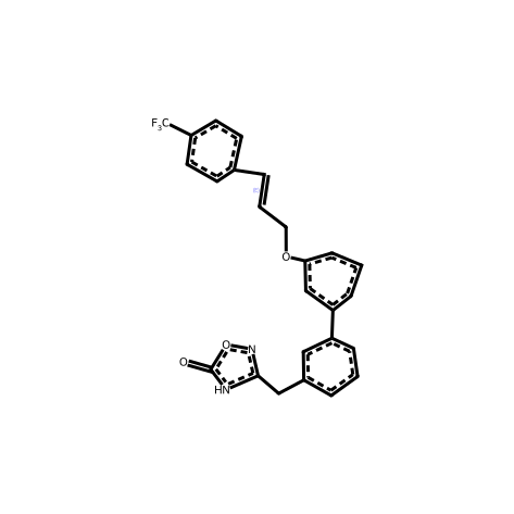 O=c1[nH]c(Cc2cccc(-c3cccc(OC/C=C/c4ccc(C(F)(F)F)cc4)c3)c2)no1